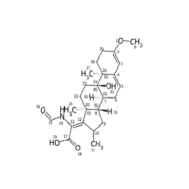 COC1=CC2=CC[C@H]3[C@@H]4CC(C)C(=C(NC=O)C(=O)O)[C@@]4(C)CC[C@]3(O)[C@@]2(C)CC1